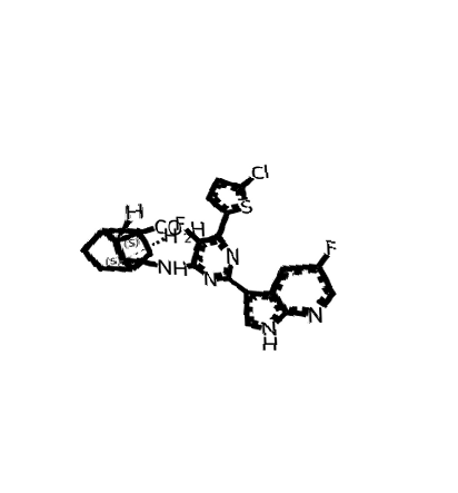 O=C(O)[C@H]1C2CCC(CC2)[C@@H]1Nc1nc(-c2c[nH]c3ncc(F)cc23)nc(-c2ccc(Cl)s2)c1F